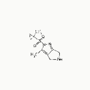 Cc1c2c(nn1S(=O)(=O)C1(C)CC1)CNC2